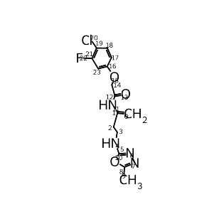 C=C(CCNc1nnc(C)o1)NC(=O)COc1ccc(Cl)c(F)c1